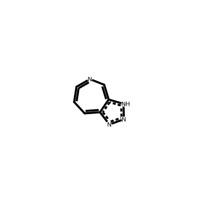 C1=CC=c2nn[nH]c2=CN=1